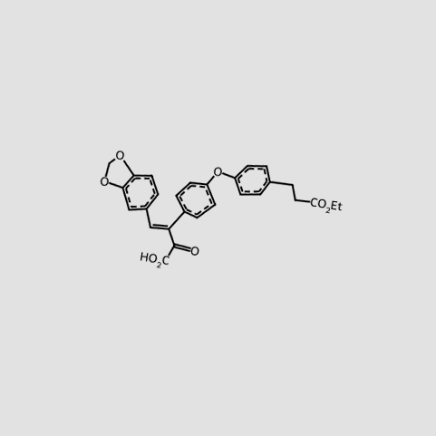 CCOC(=O)CCc1ccc(Oc2ccc(/C(=C\c3ccc4c(c3)OCO4)C(=O)C(=O)O)cc2)cc1